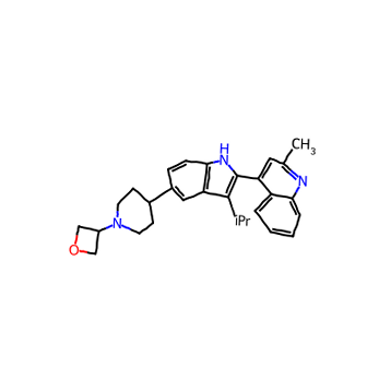 Cc1cc(-c2[nH]c3ccc(C4CCN(C5COC5)CC4)cc3c2C(C)C)c2ccccc2n1